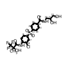 CC(O)(C(=O)Nc1ccc(S(=O)(=O)c2ccc(C(=O)NCC(O)CO)cc2)cc1Cl)C(F)(F)F